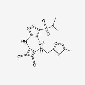 Cc1coc(CNc2c(Nc3nsc(S(=O)(=O)N(C)C)c3O)c(=O)c2=O)c1